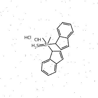 Cl.Cl.[CH3][Zr]([CH3])(=[SiH2])([CH]1C=Cc2ccccc21)[CH]1C=Cc2ccccc21